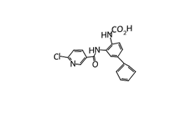 O=C(O)Nc1ccc(-c2ccccc2)cc1NC(=O)c1ccc(Cl)nc1